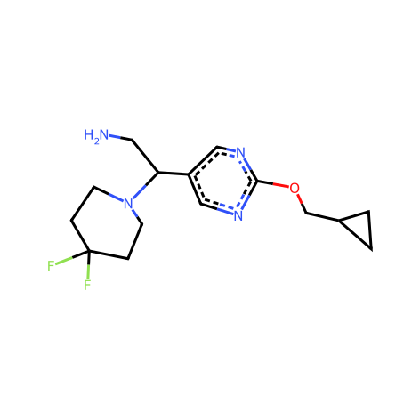 NCC(c1cnc(OCC2CC2)nc1)N1CCC(F)(F)CC1